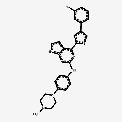 CC(C)c1cccc(-c2csc(-c3nc(Nc4ccc(N5CCN(C)CC5)cc4)nc4[nH]ccc34)c2)c1